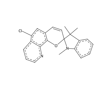 CN1c2ccccc2C(C)(C)C12C=Cc1cc(Cl)c3cccnc3c1O2